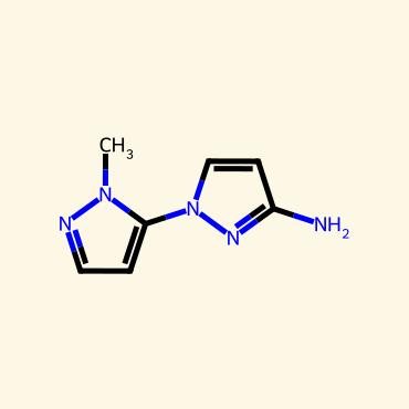 Cn1nccc1-n1ccc(N)n1